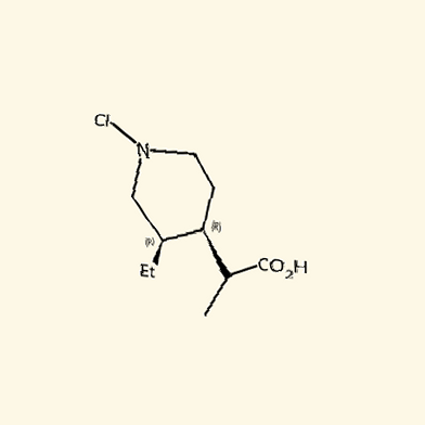 CC[C@H]1CN(Cl)CC[C@H]1C(C)C(=O)O